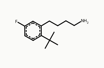 CC(C)(C)c1ccc(F)cc1CCCCN